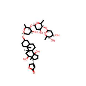 CC1O[C@@H](O[C@@H]2C(C)O[C@@H](O[C@@H]3C(C)O[C@@H](OC4CCC5(C)C(CCC6[C@@H]5CC(O)C5(C)[C@@H](C7=CC(=O)OC7)CCC65O)C4)C[C@@H]3O)C[C@@H]2O)C[C@H](O)[C@@H]1O